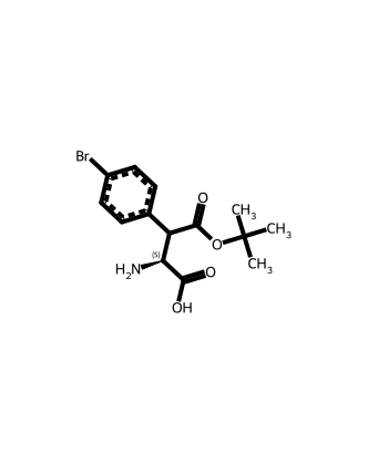 CC(C)(C)OC(=O)C(c1ccc(Br)cc1)[C@H](N)C(=O)O